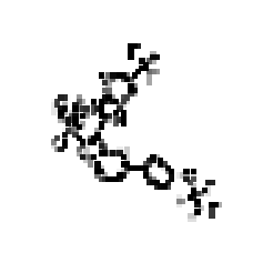 CCS(=O)(=O)c1nn2ccc(-c3ccc(OC(F)(F)C(F)F)cc3)nc2c1-c1nc2cc(C(F)(F)F)cnc2n1C